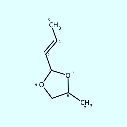 CC=CC1OCC(C)O1